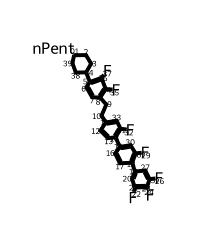 CCCCCC1CCC(c2ccc(CCc3ccc(-c4ccc(-c5cc(F)c(F)c(F)c5)c(F)c4)c(F)c3)c(F)c2F)CC1